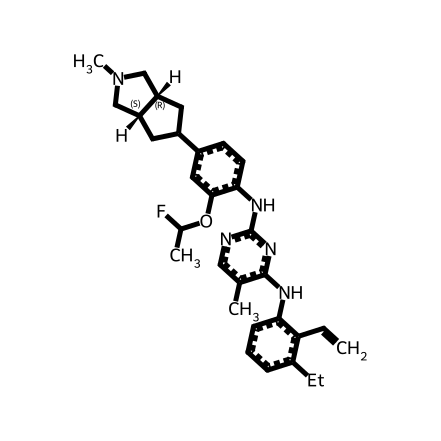 C=Cc1c(CC)cccc1Nc1nc(Nc2ccc(C3C[C@@H]4CN(C)C[C@@H]4C3)cc2OC(C)F)ncc1C